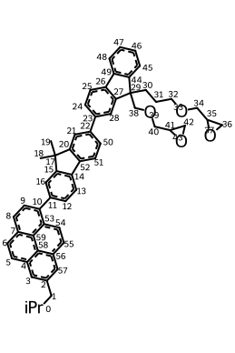 CC(C)Cc1cc2ccc3ccc(-c4ccc5c(c4)C(C)(C)c4cc(-c6ccc7c(c6)C(CCCOCC6CO6)(COCC6CO6)c6ccccc6-7)ccc4-5)c4ccc(c1)c2c34